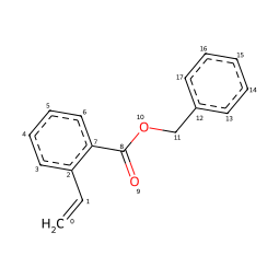 C=Cc1ccccc1C(=O)OCc1ccccc1